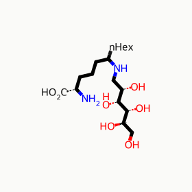 CCCCCCC(CCC[C@H](N)C(=O)O)NC[C@H](O)[C@@H](O)[C@H](O)[C@H](O)CO